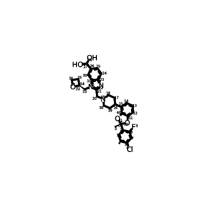 C[C@]1(c2ccc(Cl)cc2F)Oc2cccc(C3CCN(Cc4nc5ccc(C(O)O)cc5n4C[C@@H]4CCO4)CC3)c2O1